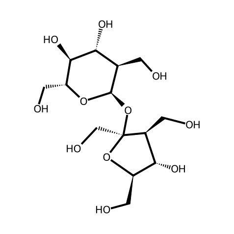 OC[C@H]1[C@@H](O[C@]2(CO)O[C@H](CO)[C@@H](O)[C@@H]2CO)O[C@H](CO)[C@@H](O)[C@@H]1O